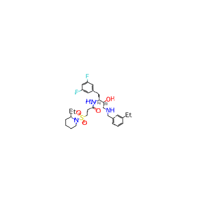 CCc1cccc(CNC[C@H](O)[C@H](Cc2cc(F)cc(F)c2)NC(=O)CCS(=O)(=O)N2CCCCC2CC)c1